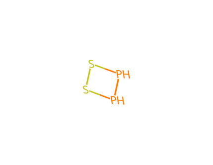 P1PSS1